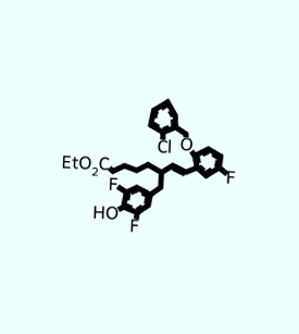 CCOC(=O)CCCCC(C=Cc1cc(F)ccc1OCc1ccccc1Cl)Cc1cc(F)c(O)c(F)c1